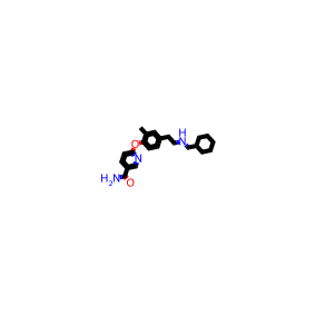 Cc1cc(CCNCC2CCCCC2)ccc1Oc1ccc(C(N)=O)cn1